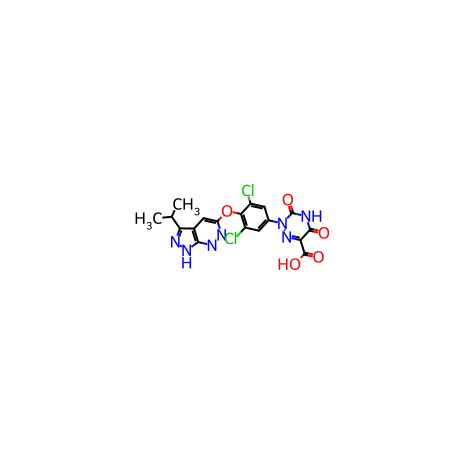 CC(C)c1n[nH]c2nnc(Oc3c(Cl)cc(-n4nc(C(=O)O)c(=O)[nH]c4=O)cc3Cl)cc12